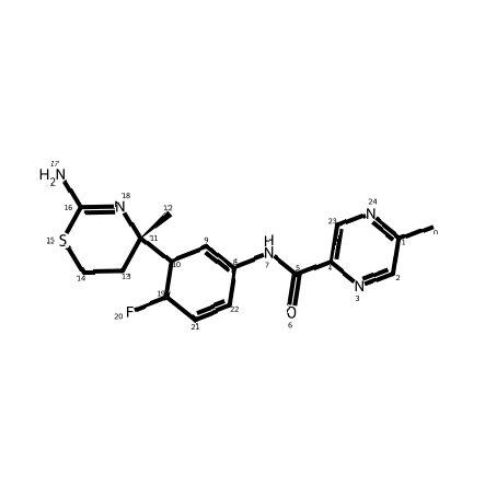 Cc1cnc(C(=O)NC2=CC([C@]3(C)CCSC(N)=N3)C(F)C=C2)cn1